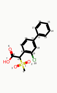 CS(=O)(=O)C(C(=O)O)c1ccc(-c2ccccc2)cc1Cl